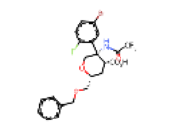 O=C(O)[C@@H]1C[C@H](COCc2ccccc2)OC[C@@]1(NC(=O)C(F)(F)F)c1cc(Br)ccc1F